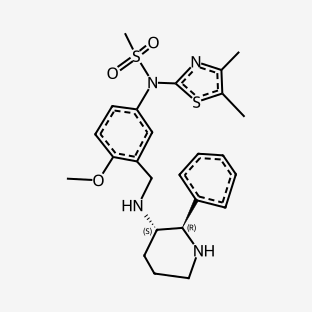 COc1ccc(N(c2nc(C)c(C)s2)S(C)(=O)=O)cc1CN[C@H]1CCCN[C@@H]1c1ccccc1